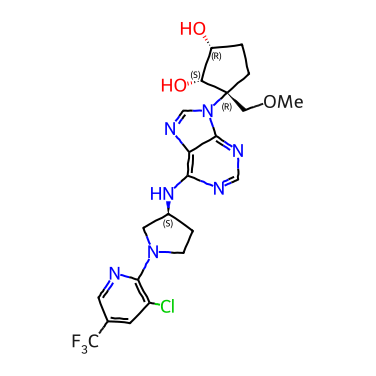 COC[C@]1(n2cnc3c(N[C@H]4CCN(c5ncc(C(F)(F)F)cc5Cl)C4)ncnc32)CC[C@@H](O)[C@H]1O